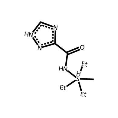 CC[SH](C)(CC)(CC)NC(=O)c1nc[nH]n1